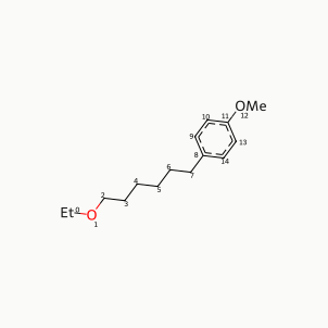 [CH2]COCCCCCCc1ccc(OC)cc1